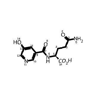 NC(=O)CC[C@H](NC(=O)c1cncc(O)c1)C(=O)O